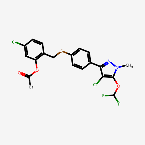 CCC(=O)Oc1cc(Cl)ccc1CSc1ccc(-c2nn(C)c(OC(F)F)c2Cl)cc1